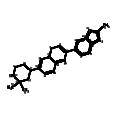 Cc1nc2ccc(C3=CCN4C=C(N5CCNC(C)(C)C5)C=CC4=N3)cc2o1